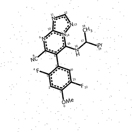 COc1cc(F)c(-c2c(C#N)nc3ncnn3c2NC(C)C(C)C)cc1F